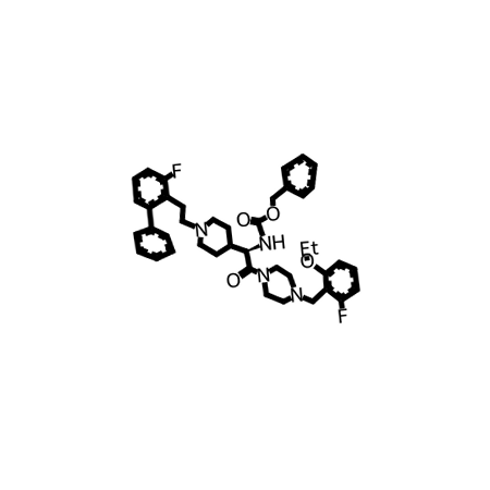 CCOc1cccc(F)c1CN1CCN(C(=O)[C@H](NC(=O)OCc2ccccc2)C2CCN(CCc3c(F)cccc3-c3ccccc3)CC2)CC1